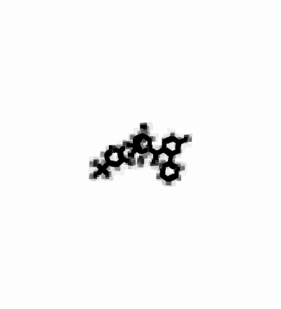 O=C(c1ccc(F)cc1-c1ncccn1)N1C[C@@H]2CC[C@H]1[C@H](Oc1ncc(C(F)(F)F)cc1Cl)C2